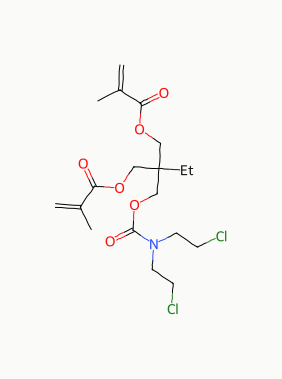 C=C(C)C(=O)OCC(CC)(COC(=O)C(=C)C)COC(=O)N(CCCl)CCCl